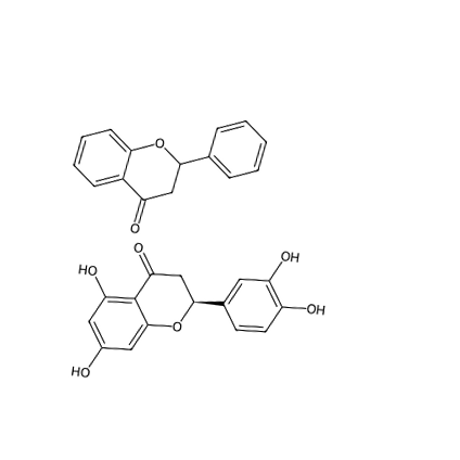 O=C1CC(c2ccccc2)Oc2ccccc21.O=C1C[C@@H](c2ccc(O)c(O)c2)Oc2cc(O)cc(O)c21